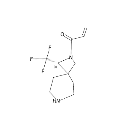 C=CC(=O)N1CC2(CCNCC2)[C@@H]1C(F)(F)F